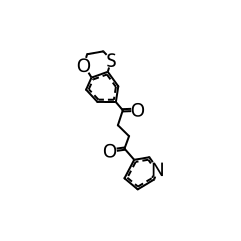 O=C(CCC(=O)c1ccc2c(c1)SCCO2)c1cccnc1